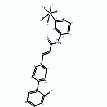 O=C(C=Cc1ccc(-c2ccccc2F)nc1)Nc1cccc(S(F)(F)(F)(F)F)c1